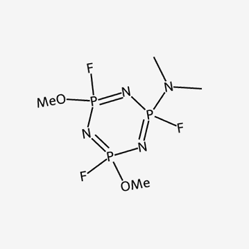 COP1(F)=NP(F)(OC)=NP(F)(N(C)C)=N1